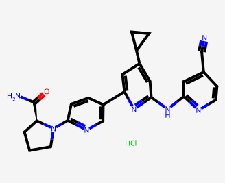 Cl.N#Cc1ccnc(Nc2cc(C3CC3)cc(-c3ccc(N4CCC[C@H]4C(N)=O)nc3)n2)c1